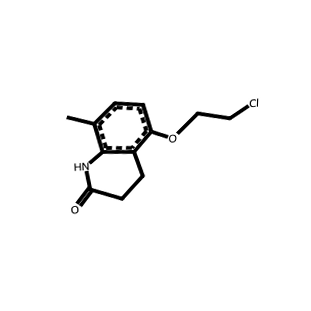 Cc1ccc(OCCCl)c2c1NC(=O)CC2